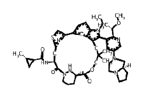 CCn1c(-c2cc(N3CCN4CCC[C@@H]4C3)cnc2[C@H](C)OC)c2c3cc(ccc31)-c1csc(n1)C[C@H](NC(=O)[C@H]1C[C@@H]1C)C(=O)N1CCC[C@H](N1)C(=O)OCC(C)(C)C2